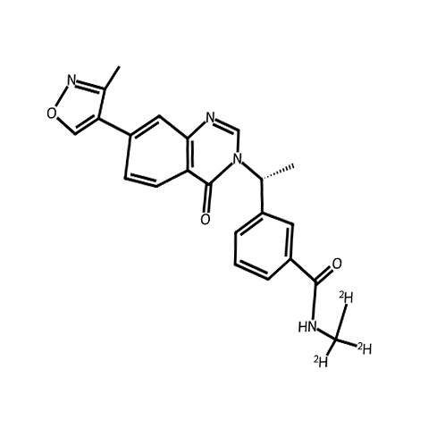 [2H]C([2H])([2H])NC(=O)c1cccc([C@@H](C)n2cnc3cc(-c4conc4C)ccc3c2=O)c1